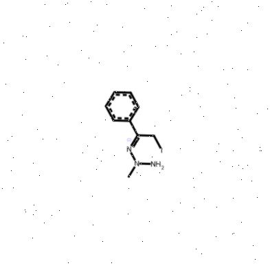 CN(N)/N=C(\CI)c1ccccc1